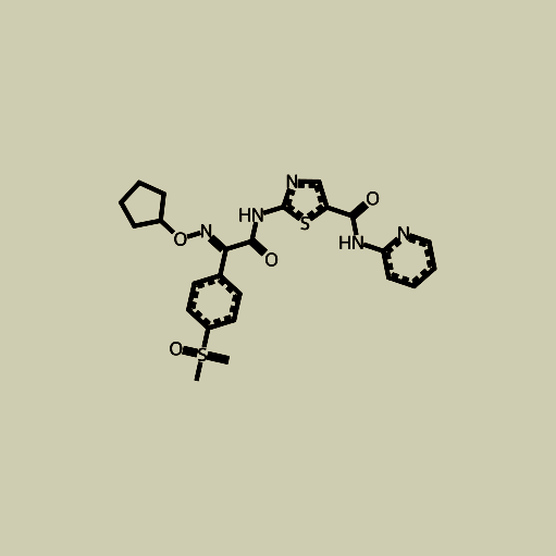 C=S(C)(=O)c1ccc(/C(=N\OC2CCCC2)C(=O)Nc2ncc(C(=O)Nc3ccccn3)s2)cc1